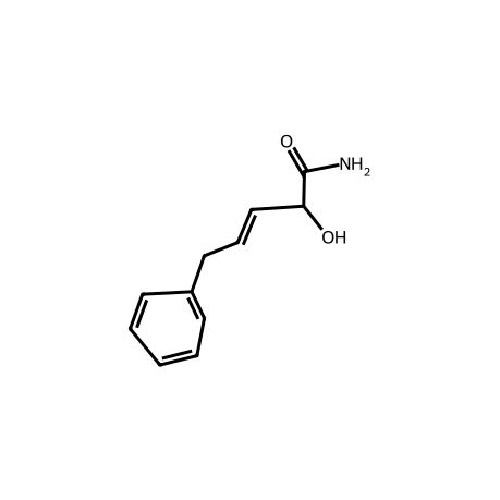 NC(=O)C(O)C=CCc1ccccc1